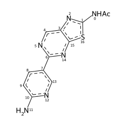 CC(=O)Nc1nc2cnc(-c3ccc(N)nc3)nc2s1